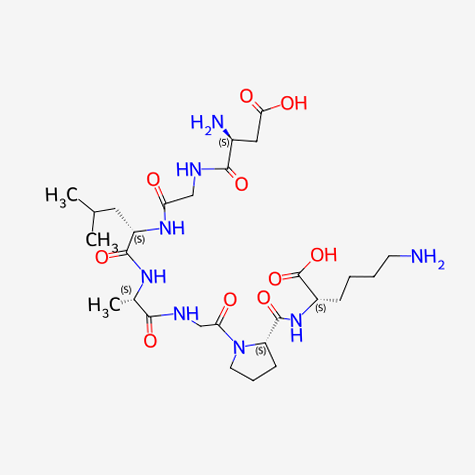 CC(C)C[C@H](NC(=O)CNC(=O)[C@@H](N)CC(=O)O)C(=O)N[C@@H](C)C(=O)NCC(=O)N1CCC[C@H]1C(=O)N[C@@H](CCCCN)C(=O)O